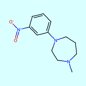 CN1CCCN(c2cc[c]c([N+](=O)[O-])c2)CC1